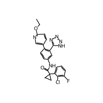 CCOc1ccc(-c2ccc(NC(=O)C3(c4cccc(F)c4Cl)CC3)cc2-c2nnn[nH]2)cn1